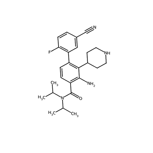 CC(C)N(C(=O)c1ccc(-c2cc(C#N)ccc2F)c(C2CCNCC2)c1N)C(C)C